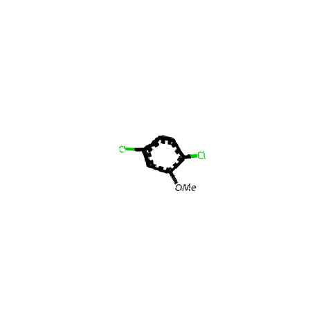 COc1cc(Cl)ccc1Cl